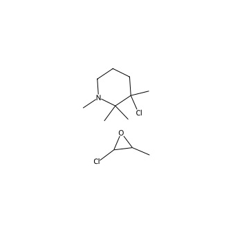 CC1OC1Cl.CN1CCCC(C)(Cl)C1(C)C